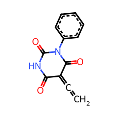 C=C=C1C(=O)NC(=O)N(c2ccccc2)C1=O